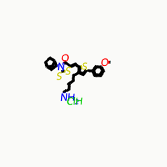 COc1cccc(-c2cc(CCCCCN)c(/C=C3\SC(=S)N(C4CC5CCC4C5)C3=O)s2)c1.Cl